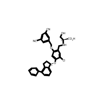 N#Cc1cc(C#N)cc(COc2cc(O[C@H]3CCc4c(-c5ccccc5)cccc43)c(Cl)cc2CN[C@@H](CO)C(=O)O)c1